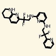 FC(F)(CNc1cccc(NCC(F)(F)c2ccc3c(n2)NCCC3)n1)c1ccccn1